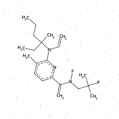 C=CN(c1nc(C(=C)N(F)CC(C)(C)F)ccc1C)C(C)(CC)CCC